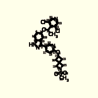 C[C@@H](Oc1ccc2[nH]nc(-c3ccc(OC4CC5(C4)CN(S(C)(=O)=O)C5)nc3)c2c1)c1c(Cl)cncc1Cl